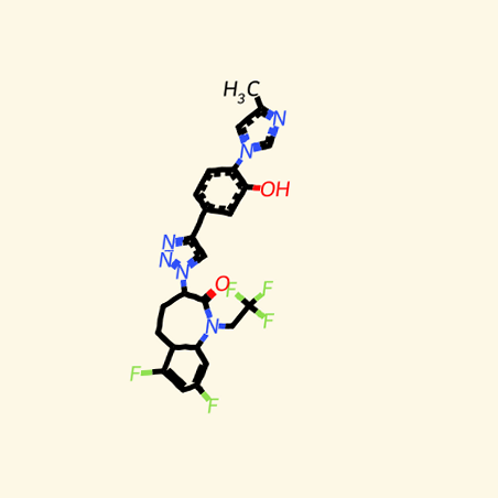 Cc1cn(-c2ccc(-c3cn(C4CCC5C(F)=CC(F)=CC5N(CC(F)(F)F)C4=O)nn3)cc2O)cn1